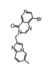 Cc1ccc2nc(Cn3cnc4c(Br)cncc4c3=O)cn2c1